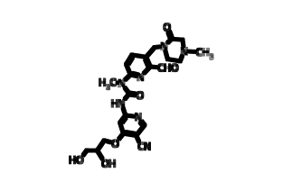 CN1CCN(Cc2ccc(N(C)C(=O)Nc3cc(OCC(O)CO)c(C#N)cn3)nc2C=O)C(=O)C1